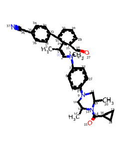 C/C(=C/N(C)c1ccc(N2CC(C)N(C(=O)C3CC3)C(C)C2)cc1)c1c(C=O)cccc1-c1ccc(C#N)cc1